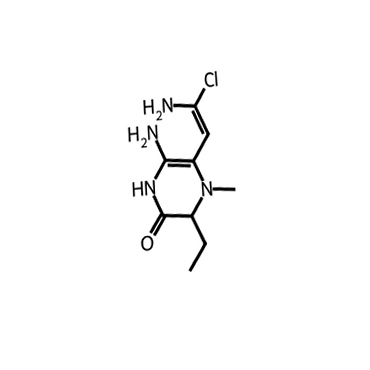 CCC1C(=O)NC(N)=C(/C=C(\N)Cl)N1C